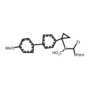 CCCCCC(CC)N(C(=O)O)C1(c2ccc(-c3ccc(OC)cc3)cc2)CC1